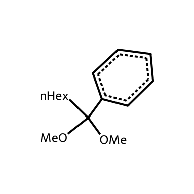 CCCCCCC(OC)(OC)c1ccccc1